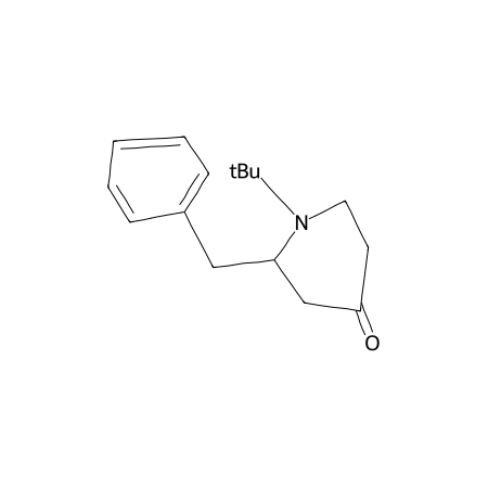 CC(C)(C)N1CCC(=O)CC1Cc1ccccc1